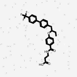 CCC(Cc1ccc(-c2ccc(C(F)(F)F)cc2)cc1)Oc1ccc(C(=O)NCCC(=O)O)cc1